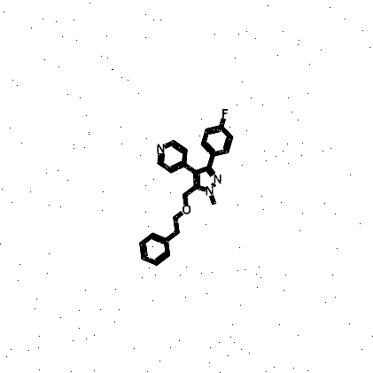 Cn1nc(-c2ccc(F)cc2)c(-c2ccncc2)c1COCCc1ccccc1